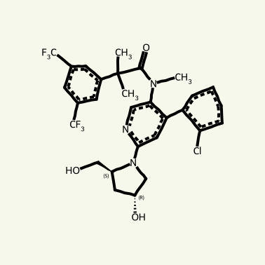 CN(C(=O)C(C)(C)c1cc(C(F)(F)F)cc(C(F)(F)F)c1)c1cnc(N2C[C@H](O)C[C@H]2CO)cc1-c1ccccc1Cl